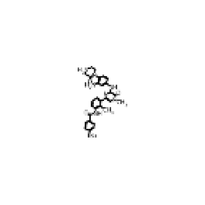 Cc1c(NC(=O)c2ccc(C(C)(C)C)cc2)cccc1-c1cn(C)c(=O)c(Nc2ccc(N3CC[SH2]CC3=O)c(N)c2)n1